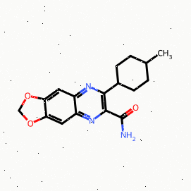 CC1CCC(c2nc3cc4c(cc3nc2C(N)=O)OCO4)CC1